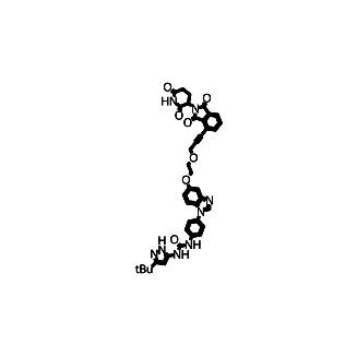 CC(C)(C)c1cc(NC(=O)Nc2ccc(-n3cnc4cc(OCCOCC#Cc5cccc6c5C(=O)N(C5CCC(=O)NC5=O)C6=O)ccc43)cc2)[nH]n1